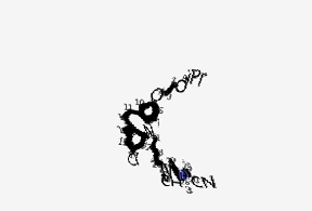 CC(C)OCCOc1ccc2c(c1)CCc1ccc(Cl)cc1N2CCCCN(C)C/C=C/C#N